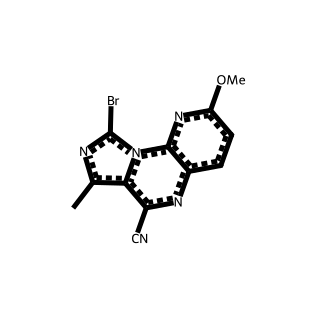 COc1ccc2nc(C#N)c3c(C)nc(Br)n3c2n1